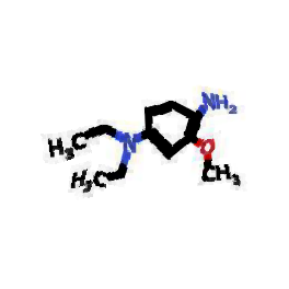 CCN(CC)c1ccc(N)c(OC)c1